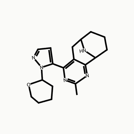 Cc1nc(-c2ccnn2C2CCCCO2)c2c(n1)C1CCCC(C2)N1